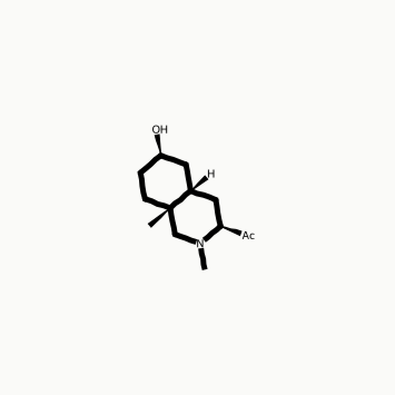 CC(=O)[C@@H]1C[C@H]2C[C@H](O)CC[C@@]2(C)CN1C